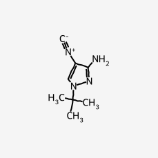 [C-]#[N+]c1cn(C(C)(C)C)nc1N